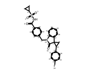 O=C(NS(=O)(=O)C1CC1)c1ccc(CN2C(=O)C3(CC3c3ccc(F)cc3)c3ccccc32)cc1